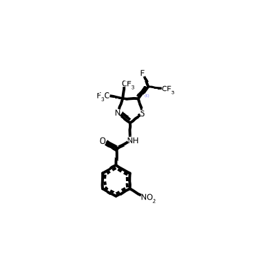 O=C(NC1=NC(C(F)(F)F)(C(F)(F)F)/C(=C(\F)C(F)(F)F)S1)c1cccc([N+](=O)[O-])c1